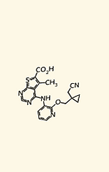 Cc1c(C(=O)O)sc2ncnc(Nc3cccnc3OCC3(CC#N)CC3)c12